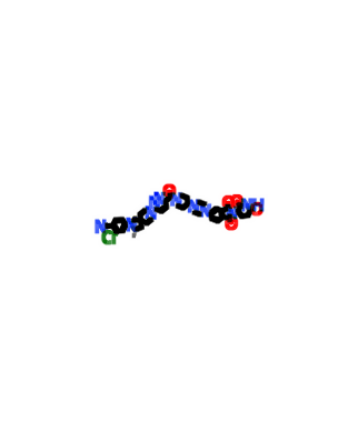 C[C@H]1CC2(CCN(c3ccc(C(=O)N4CCC(N5CCN(c6ccc7c(c6)C(=O)N(C6CCC(=O)NC6=O)C7=O)CC5)CC4)nn3)CC2)CN1c1ccc(C#N)c(Cl)c1